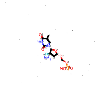 Cc1cn([C@@H]2O[C@H](OCO[PH](=O)O)C=C2F)c(=O)[nH]c1=O.N